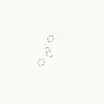 Fc1ccc(Nc2ncnc3nc(Nc4ccc(CN5CCOCC5)cc4)sc23)cc1